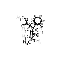 COC(=O)C(C)(C)[C@](C)(N[S@@+]([O-])C(C)(C)C)c1ccccc1F